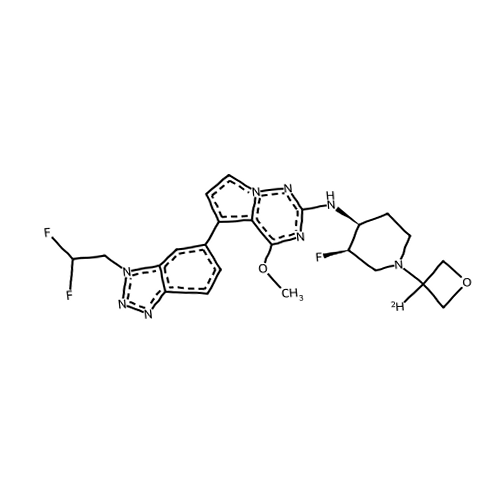 [2H]C1(N2CC[C@H](Nc3nc(OC)c4c(-c5ccc6nnn(CC(F)F)c6c5)ccn4n3)[C@H](F)C2)COC1